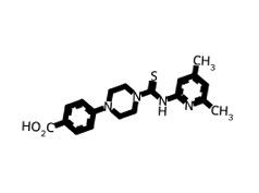 Cc1cc(C)nc(NC(=S)N2CCN(c3ccc(C(=O)O)cc3)CC2)c1